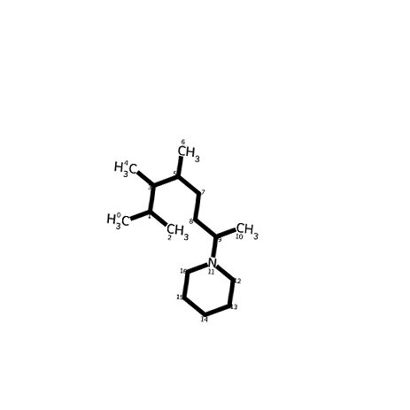 CC(C)C(C)C(C)CCC(C)N1CCCCC1